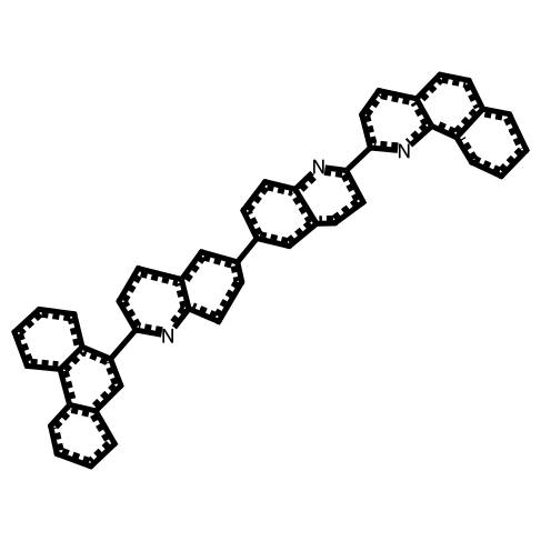 c1ccc2c(c1)cc(-c1ccc3cc(-c4ccc5nc(-c6ccc7ccc8ccccc8c7n6)ccc5c4)ccc3n1)c1ccccc12